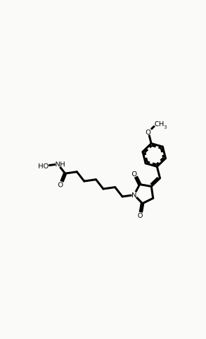 COc1ccc(C=C2CC(=O)N(CCCCCCC(=O)NO)C2=O)cc1